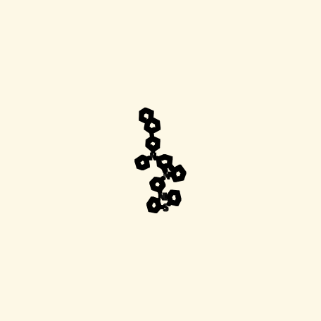 c1ccc(Sc2ccccc2Nc2cccc(-n3c4ccccc4c4ccc(N(c5ccccc5)c5ccc(-c6ccc7ccccc7c6)cc5)cc43)c2)cc1